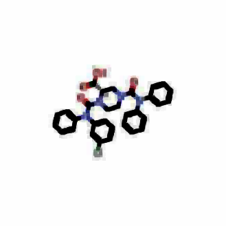 O=C(O)[C@@H]1CN(C(=O)N(c2ccccc2)c2ccccc2)CCN1C(=O)N(c1ccccc1)c1cccc(Cl)c1